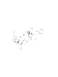 Cc1nnc(Nc2ccc(CN3C(=O)[C@@H](C4Cc5ccccc5C4)NC(=O)[C@H]3CC(C)C)cc2)s1